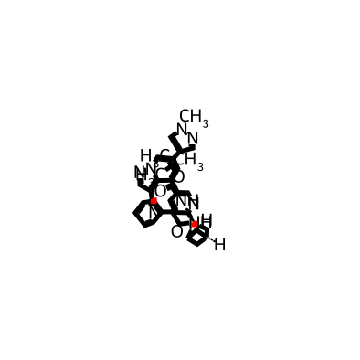 Cn1cc(-c2cc(-c3ccc(N4C[C@H]5CC4[C@@H]5NC(=O)C(NC(=O)OC(C)(C)C)c4ccccc4)nc3)c3c(C#N)cnn3c2)cn1